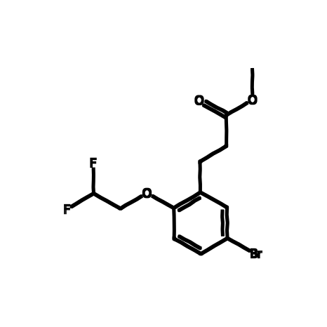 COC(=O)CCc1cc(Br)ccc1OCC(F)F